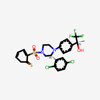 C[C@](O)(c1ccc(N2CCN(S(=O)(=O)C3=CC=CCC3=S)C[C@H]2c2cc(Cl)ccc2Cl)cc1)C(F)(F)F